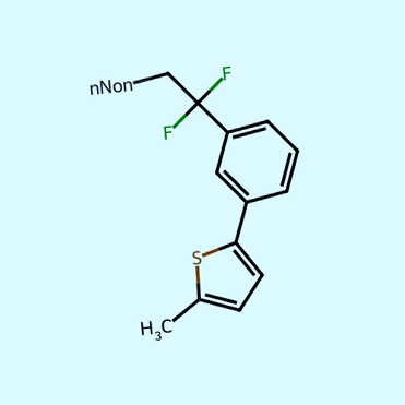 CCCCCCCCCCC(F)(F)c1cccc(-c2ccc(C)s2)c1